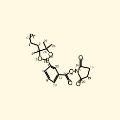 CC(C)CCC1(C)OB(c2cccc(C(=O)ON3C(=O)CCC3=O)c2)OC1(C)C